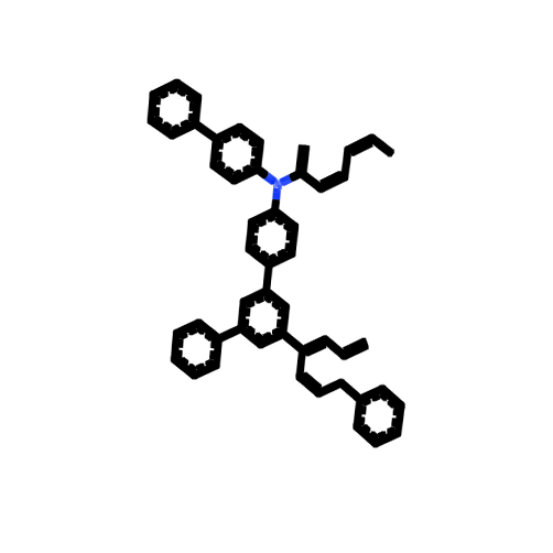 C=C/C=C(\C=C/Cc1ccccc1)c1cc(-c2ccccc2)cc(-c2ccc(N(C(=C)/C=C\C=C/C)c3ccc(-c4ccccc4)cc3)cc2)c1